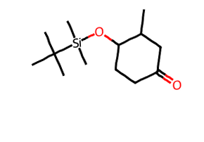 CC1CC(=O)CCC1O[Si](C)(C)C(C)(C)C